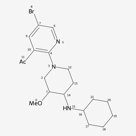 COC1CN(c2ncc(Br)cc2C(C)=O)CCC1NC1CCCCC1